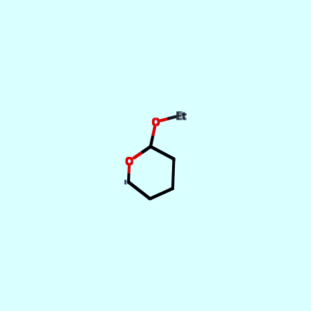 CCOC1CCC[C]O1